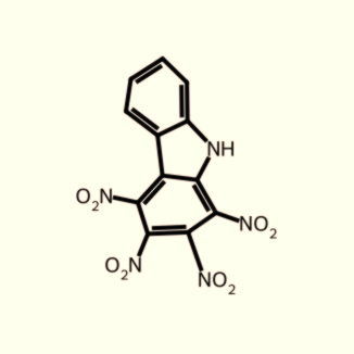 O=[N+]([O-])c1c([N+](=O)[O-])c([N+](=O)[O-])c2c([nH]c3ccccc32)c1[N+](=O)[O-]